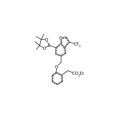 CCOC(=O)Cc1ccccc1OCc1cc(B2OC(C)(C)C(C)(C)O2)c2occ(C(F)(F)F)c2c1